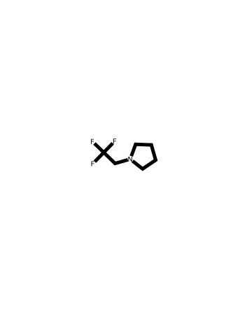 FC(F)(F)CN1[CH]CCC1